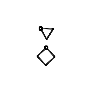 C1CO1.C1COC1